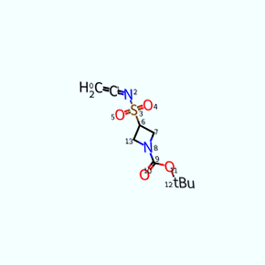 C=C=NS(=O)(=O)C1CN(C(=O)OC(C)(C)C)C1